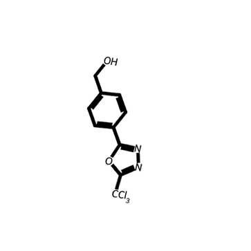 OCc1ccc(-c2nnc(C(Cl)(Cl)Cl)o2)cc1